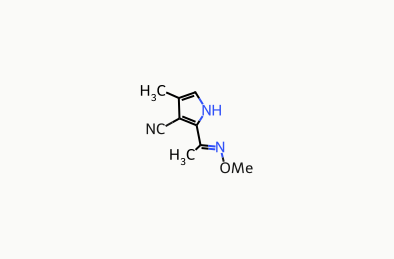 CON=C(C)c1[nH]cc(C)c1C#N